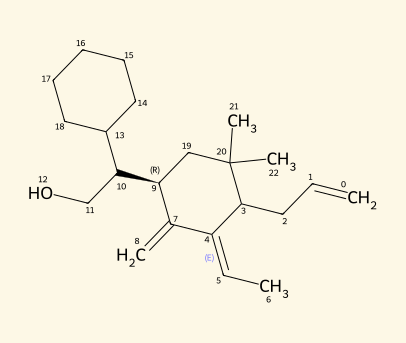 C=CCC1/C(=C\C)C(=C)[C@@H](C(CO)C2CCCCC2)CC1(C)C